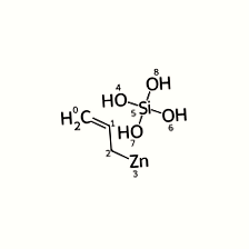 C=C[CH2][Zn].O[Si](O)(O)O